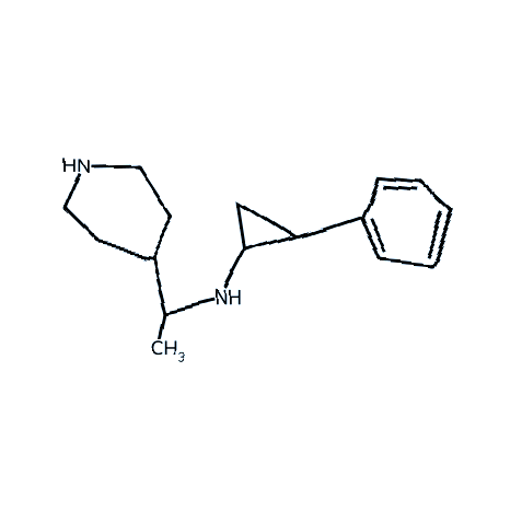 CC(NC1CC1c1ccccc1)C1CCNCC1